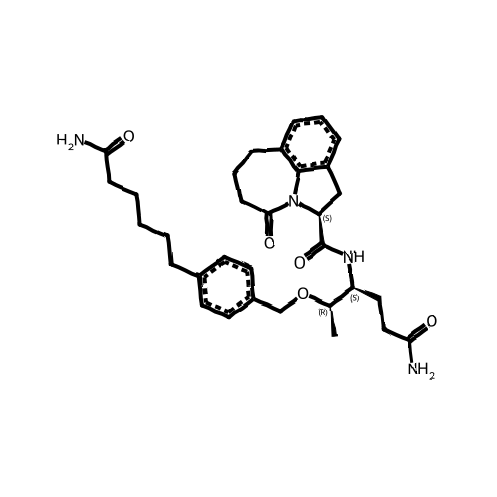 C[C@@H](OCc1ccc(CCCCCC(N)=O)cc1)[C@H](CCC(N)=O)NC(=O)[C@@H]1Cc2cccc3c2N1C(=O)CCC3